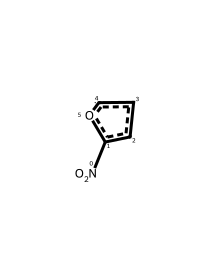 O=[N+]([O-])c1cc[c]o1